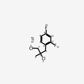 CC(Cl)(CCl)Cc1ccc(F)[c]c1F.[Ti]